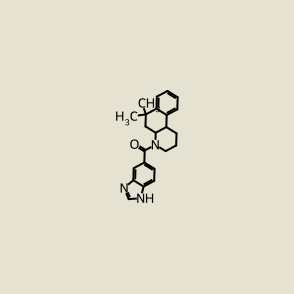 CC1(C)CC2C(CCCN2C(=O)c2ccc3[nH]cnc3c2)c2ccccc21